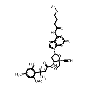 C#C[C@]1(CO)O[C@@H](n2cnc3c(NC(=O)CCCSC(C)=O)nc(Cl)nc32)C[C@@H]1OC(=O)CC(C)(C)c1c(C)cc(C)cc1OC(C)=O